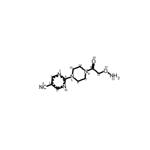 N#Cc1cnc(N2CCN(C(=O)CON)CC2)nc1